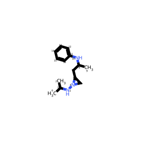 CC(C)NN1CC1CC(C)Nc1ccccc1